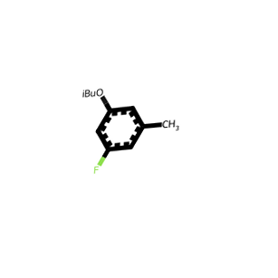 Cc1cc(F)cc(OCC(C)C)c1